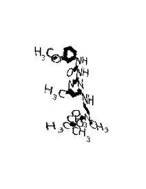 COc1cccc(NC(=O)Nc2nc(C)cc(NCCN(C)C(=O)OC(C)(C)C)n2)c1